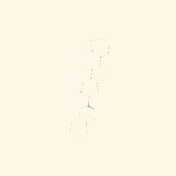 CCC1CCCCC1NC(=O)C1CC2CCC(C3CCCCC3N)C(C)C2C(N)C1O